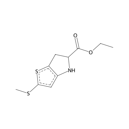 CCOC(=O)C1Cc2sc(SC)cc2N1